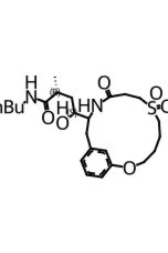 CCCCNC(=O)[C@H](C)C[C@H](O)C1Cc2cccc(c2)OCCCCS(=O)(=O)CCC(=O)N1